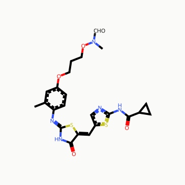 Cc1cc(OCCCON(C)C=O)ccc1/N=C1/NC(=O)/C(=C/c2cnc(NC(=O)C3CC3)s2)S1